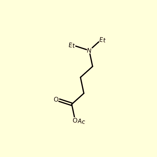 CCN(CC)CCCC(=O)OC(C)=O